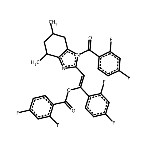 CC1Cc2c(nc(C=C(OC(=O)c3ccc(F)cc3F)c3ccc(F)cc3F)n2C(=O)c2ccc(F)cc2F)C(C)C1